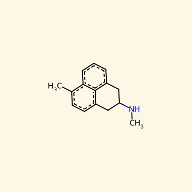 CNC1Cc2cccc3c(C)ccc(c23)C1